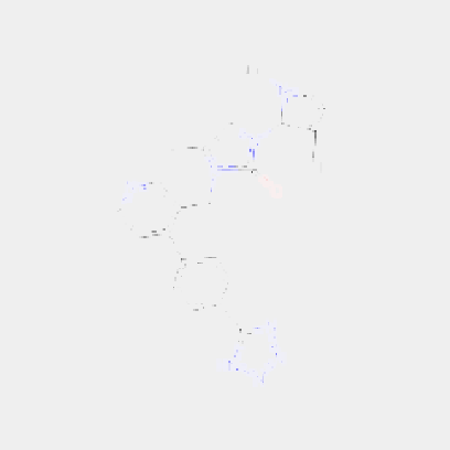 CCCCc1cn(-c2c(C(F)(F)F)ccn2CCC)c(=O)n1Cc1cnccc1-c1ccc(-c2nnn[nH]2)cc1